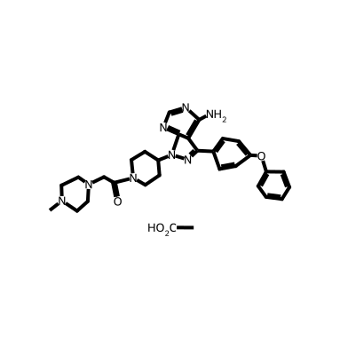 CC(=O)O.CN1CCN(CC(=O)N2CCC(n3nc(-c4ccc(Oc5ccccc5)cc4)c4c(N)ncnc43)CC2)CC1